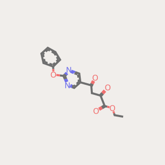 CCOC(=O)C(=O)CC(=O)c1cnc(Oc2ccccc2)nc1